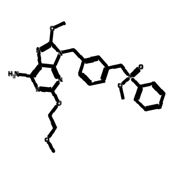 COCCOc1nc(N)c2nc(OC)n(Cc3cccc(CP(=O)(OC)c4ccccc4)c3)c2n1